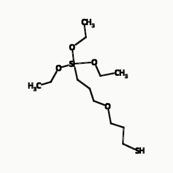 CCO[Si](CCCOCCCS)(OCC)OCC